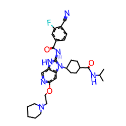 CC(C)NC(=O)C1CCC(n2/c(=N/C(=O)c3ccc(C#N)c(F)c3)[nH]c3cnc(OCCN4CCCCC4)cc32)CC1